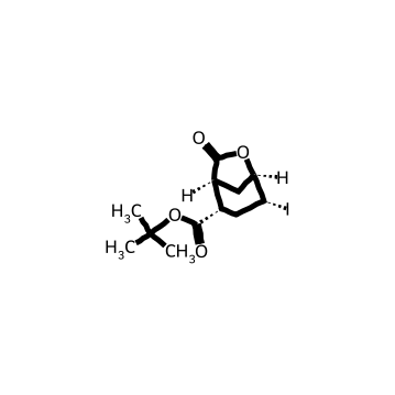 CC(C)(C)OC(=O)[C@H]1C[C@@H](I)[C@H]2C[C@@H]1C(=O)O2